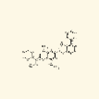 COc1cc(OCc2cccc(-c3ccccc3)c2C)cc(OC)c1CN[C@H](CO)C1CCCCC1